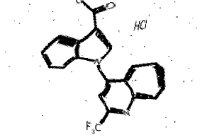 Cl.O=C(Cl)c1cn(-c2cc(C(F)(F)F)nc3ccccc23)c2ccccc12